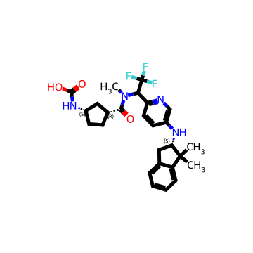 CN(C(=O)[C@@H]1CC[C@H](NC(=O)O)C1)C(c1ccc(N[C@H]2Cc3ccccc3C2(C)C)cn1)C(F)(F)F